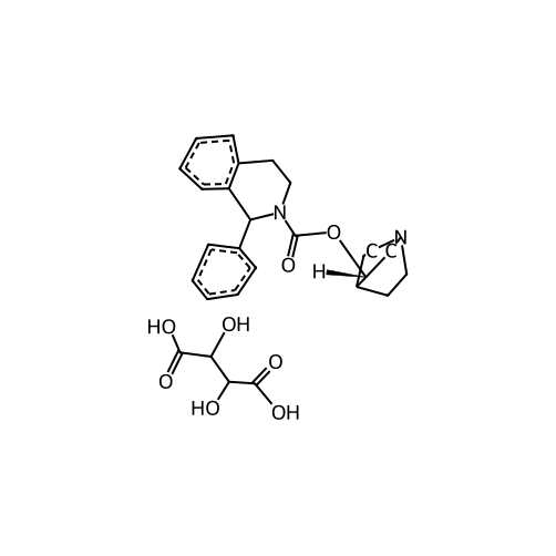 O=C(O)C(O)C(O)C(=O)O.O=C(O[C@@H]1CN2CCC1CC2)N1CCc2ccccc2C1c1ccccc1